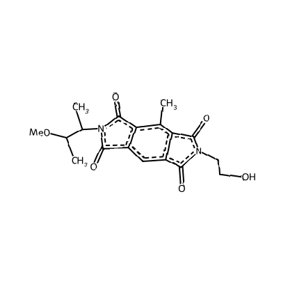 COC(C)C(C)n1c(=O)c2cc3c(=O)n(CCO)c(=O)c3c(C)c2c1=O